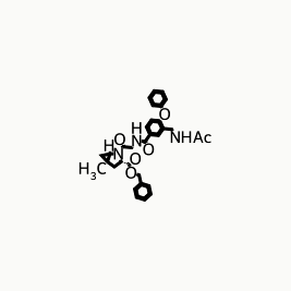 CC(=O)NCc1cc(C(=O)NCC(=O)N2[C@H]3C[C@@]3(C)C[C@H]2C(=O)OCc2ccccc2)ccc1Oc1ccccc1